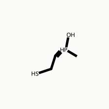 C/[PH](O)=C\CS